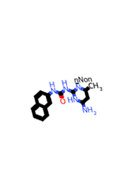 CCCCCCCCCN1C(C)CC(N)NC1NC(=O)Nc1ccc2ccccc2c1